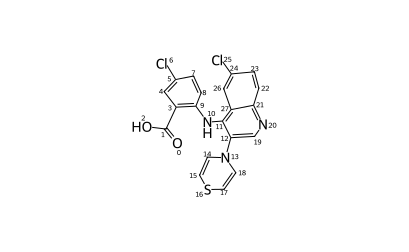 O=C(O)c1cc(Cl)ccc1Nc1c(N2C=CSC=C2)cnc2ccc(Cl)cc12